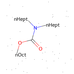 CCCCCCCCOC(=O)N(CCCCCCC)CCCCCCC